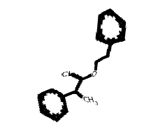 CC(c1ccccc1)C(Cl)OCCc1ccccc1